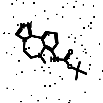 CN1CCn2cnnc2-c2cccc(NC(=O)OC(C)(C)C)c21